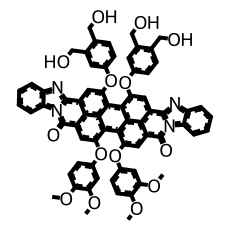 COc1ccc(Oc2cc3c(=O)n4c5ccccc5nc4c4cc(Oc5ccc(CO)c(CO)c5)c5c6c(Oc7ccc(CO)c(CO)c7)cc7c8c(cc(Oc9ccc(OC)c(OC)c9)c(c2c5c34)c68)c(=O)n2c3ccccc3nc72)cc1OC